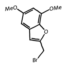 COc1cc(OC)c2oc(CBr)cc2c1